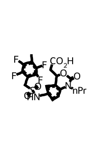 CCCN1C(=O)OC(CC(=O)O)c2cc(NS(=O)(=O)Cc3c(F)c(F)c(C)c(F)c3F)ccc21